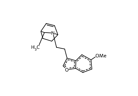 COc1ccc2occ(CCN3C4C=CC(CC4)C3C)c2c1